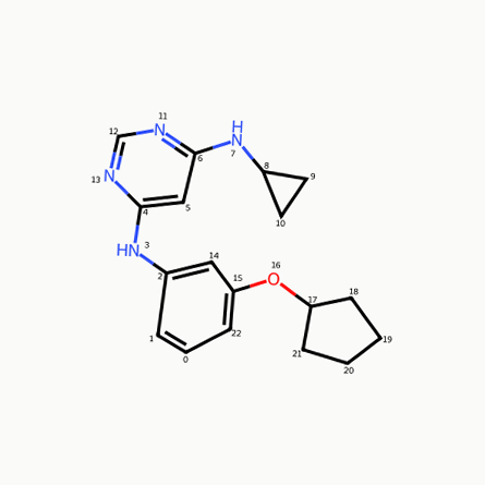 c1cc(Nc2cc(NC3CC3)ncn2)cc(OC2CCCC2)c1